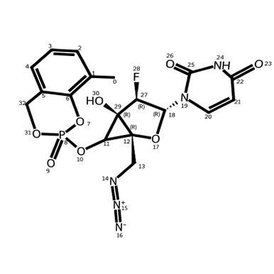 Cc1cccc2c1OP(=O)(OC1[C@@]3(CN=[N+]=[N-])O[C@@H](n4ccc(=O)[nH]c4=O)[C@H](F)[C@@]13O)OC2